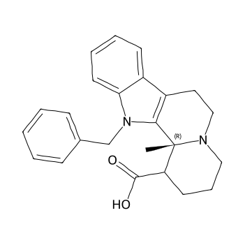 C[C@@]12c3c(c4ccccc4n3Cc3ccccc3)CCN1CCCC2C(=O)O